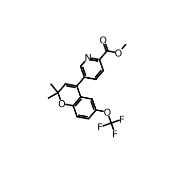 COC(=O)c1ccc(C2=CC(C)(C)Oc3ccc(OC(F)(F)F)cc32)cn1